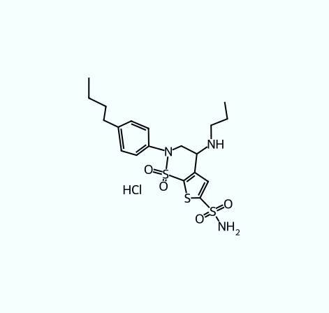 CCCCc1ccc(N2CC(NCCC)c3cc(S(N)(=O)=O)sc3S2(=O)=O)cc1.Cl